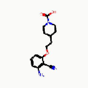 N#Cc1c(N)cccc1OCCC1CCN(C(=O)O)CC1